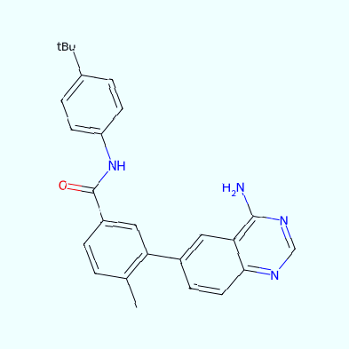 Cc1ccc(C(=O)Nc2ccc(C(C)(C)C)cc2)cc1-c1ccc2ncnc(N)c2c1